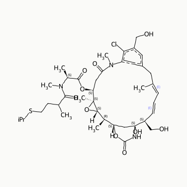 C/C1=C\C=C\[C@@H](CO)[C@@]2(O)C[C@H](OC(=O)N2)[C@@H](C)[C@@H]2O[C@@]2(C)[C@@H](OC(=O)[C@H](C)N(C)C(=O)C(C)CCSC(C)C)CC(=O)N(C)c2cc(cc(CO)c2Cl)C1